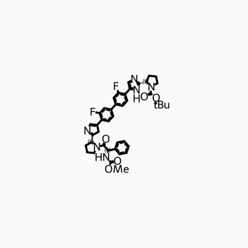 COC(=O)N[C@@H](C(=O)N1CCC[C@H]1C1=NC=C(c2ccc(-c3ccc(-c4cnc([C@@H]5CCCN5C(=O)OC(C)(C)C)[nH]4)c(F)c3)cc2F)C1)c1ccccc1